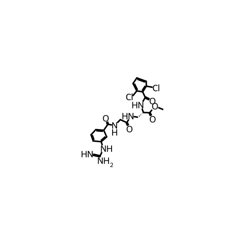 COC(=O)[C@H](CNC(=O)CNC(=O)c1cccc(NC(=N)N)c1)NC(=O)c1c(Cl)cccc1Cl